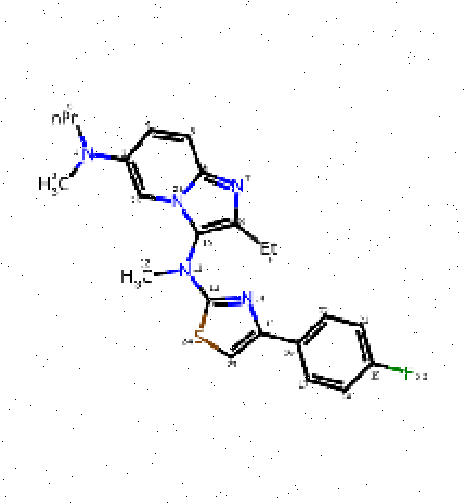 CCCN(C)c1ccc2nc(CC)c(N(C)c3nc(-c4ccc(F)cc4)cs3)n2c1